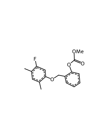 COC(=O)Oc1ccccc1COc1cc(F)c(C)cc1C